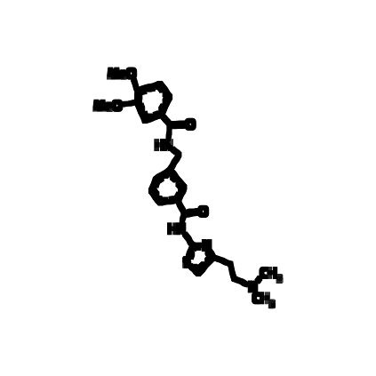 COc1ccc(C(=O)NCc2cccc(C(=O)Nc3nc(CCN(C)C)cs3)c2)cc1OC